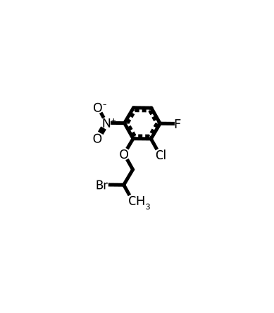 CC(Br)COc1c([N+](=O)[O-])ccc(F)c1Cl